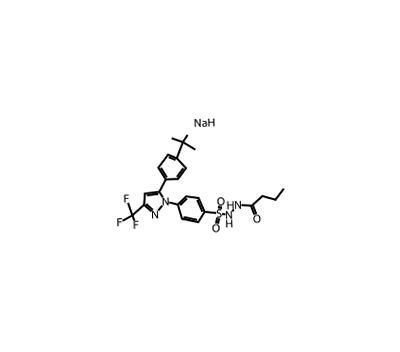 CCCC(=O)NNS(=O)(=O)c1ccc(-n2nc(C(F)(F)F)cc2-c2ccc(C(C)(C)C)cc2)cc1.[NaH]